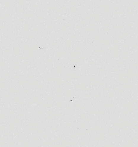 CC1O[C@@H](OC2C(O)[C@@H](O)C(CO)O[C@H]2OC2C(O)[C@H](O)C(C(=O)O)O[C@H]2O[C@H]2CC[C@@]3(C)C(CC[C@]4(C)C3CC=C3C5CC(C)(C)C[C@@H](O)[C@]5(C)CC[C@]34C)[C@@]2(C)CO)C(O)C(O)[C@H]1O